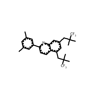 Cc1cc(C)cc(-c2ccc3c(CC(C)(C)C(F)(F)F)cc(CC(C)(C)C(F)(F)F)cc3n2)c1